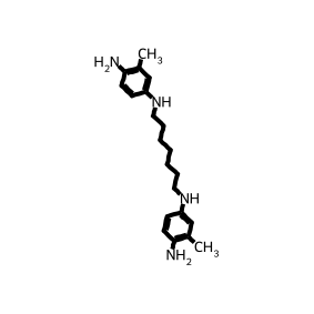 Cc1cc(NCCCCCCCNc2ccc(N)c(C)c2)ccc1N